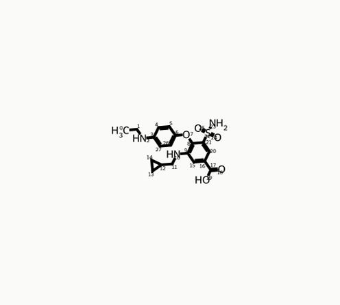 CCNc1ccc(Oc2c(NCC3CC3)cc(C(=O)O)cc2S(N)(=O)=O)cc1